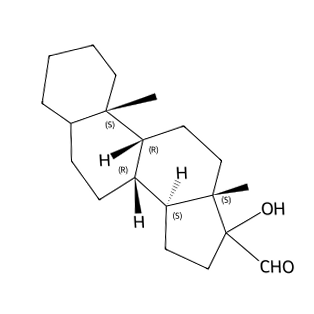 C[C@]12CCCCC1CC[C@@H]1[C@H]2CC[C@@]2(C)[C@H]1CCC2(O)C=O